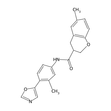 Cc1ccc2c(c1)CC(C(=O)Nc1ccc(-c3cnco3)c(C)c1)CO2